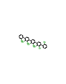 Brc1ccccc1-c1ccc(-c2ccc(-c3ccc(-c4ccccc4Br)c(Br)c3Br)c(Br)c2Br)c(Br)c1Br